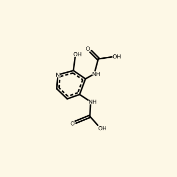 O=C(O)Nc1ccnc(O)c1NC(=O)O